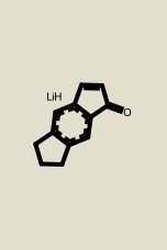 O=C1C=Cc2cc3c(cc21)CCC3.[LiH]